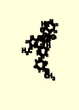 COc1cccc(-c2ccc(C(=O)NS(=O)(=O)c3ccc[nH]c3=O)c(N3[C@H](C)CC[C@@H]3C)n2)n1